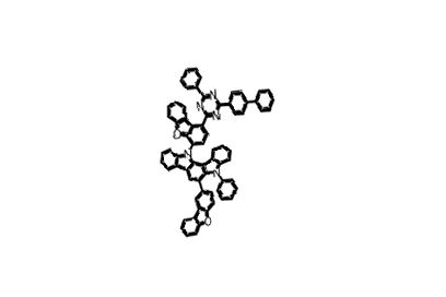 c1ccc(-c2ccc(-c3nc(-c4ccccc4)nc(-c4ccc(-n5c6ccccc6c6cc(-c7ccc8oc9ccccc9c8c7)c7c(c8ccccc8n7-c7ccccc7)c65)c5oc6ccccc6c45)n3)cc2)cc1